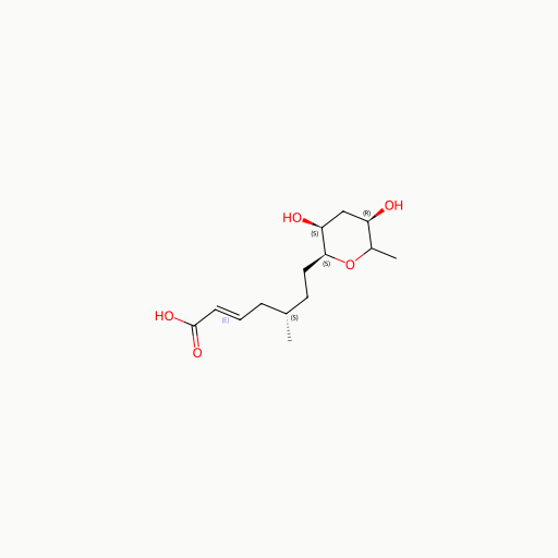 CC1O[C@@H](CC[C@H](C)C/C=C/C(=O)O)[C@@H](O)C[C@H]1O